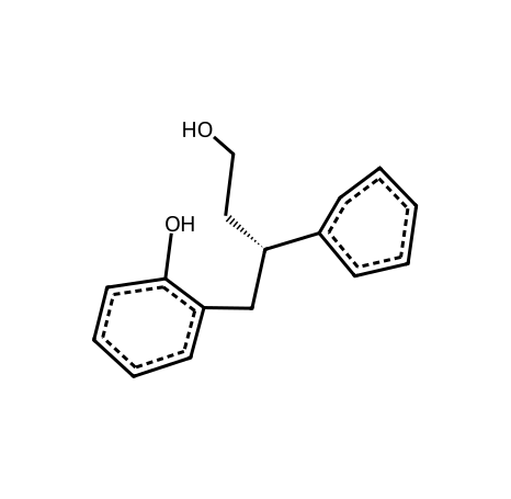 OCC[C@@H](Cc1ccccc1O)c1ccccc1